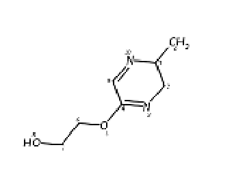 CC1CN=C(OCCO)C=N1